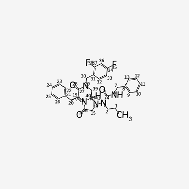 CCCN(C(=O)NCc1ccccc1)N1CC(=O)N2[C@@H](Cc3ccccc3)C(=O)N(Cc3ccc(F)cc3F)C[C@@H]21